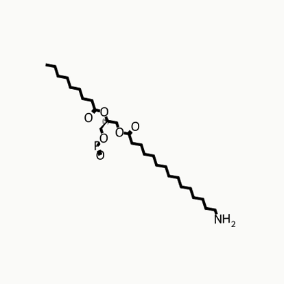 CCCCCCCCC(=O)O[C@H](COP=O)COC(=O)CCCCCCCCCCCCCCN